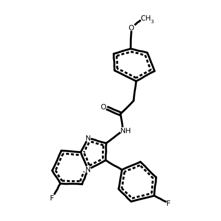 COc1ccc(CC(=O)Nc2nc3ccc(F)cn3c2-c2ccc(F)cc2)cc1